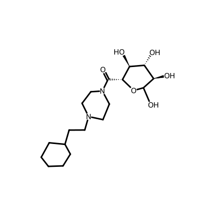 O=C([C@H]1OC(O)[C@H](O)[C@@H](O)[C@@H]1O)N1CCN(CCC2CCCCC2)CC1